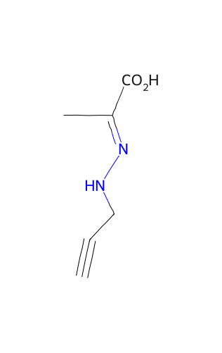 C#CCNN=C(C)C(=O)O